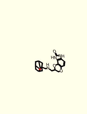 O=c1[nH]c2ccc3c(c2[nH]1)OC(CNCC12CC4CC(CC(C4)C1)C2)CO3